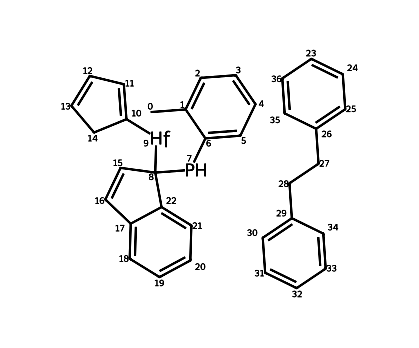 Cc1ccccc1P[C]1([Hf][C]2=CC=CC2)C=Cc2ccccc21.c1ccc(CCc2ccccc2)cc1